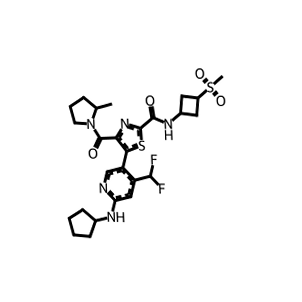 CC1CCCN1C(=O)c1nc(C(=O)NC2CC(S(C)(=O)=O)C2)sc1-c1cnc(NC2CCCC2)cc1C(F)F